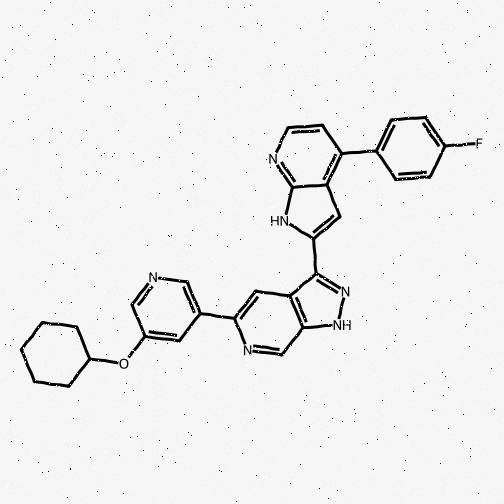 Fc1ccc(-c2ccnc3[nH]c(-c4n[nH]c5cnc(-c6cncc(OC7CCCCC7)c6)cc45)cc23)cc1